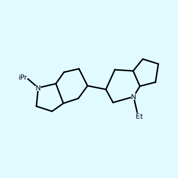 CCN1CC(C2CCC3C(CCN3C(C)C)C2)CC2CCCC21